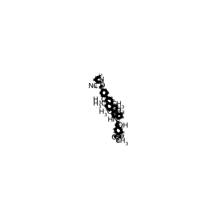 CC1(C)C(C2=CC[C@H](COc3ncccc3C#N)CC2)=CC[C@@]2(C)C1CC[C@]1(C)C2CC[C@@H]2[C@H]3CCC[C@]3(NCC[C@]3(O)CC[C@@H](S(C)(=O)=O)CC3)CC[C@]21C